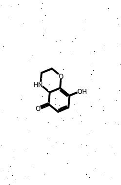 O=C1C=CC(O)=C2OCCNC12